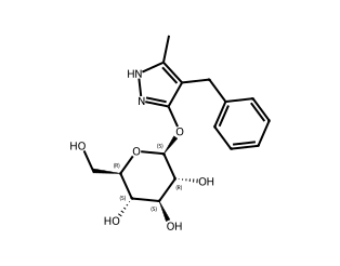 Cc1[nH]nc(O[C@@H]2O[C@H](CO)[C@@H](O)[C@H](O)[C@H]2O)c1Cc1ccccc1